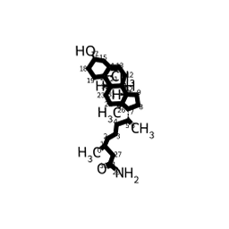 CC(CCCC(C)[C@H]1CC[C@H]2[C@@H]3CC=C4C[C@@H](O)CC[C@]4(C)[C@H]3CC[C@]12C)CC(N)=O